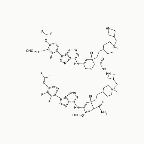 CCC1(CCC2CC[N+](C)(CC3CNC3)CC2)C=C(Nc2nccn3c(-c4ccc(OC(F)F)c(F)c4F)cnc23)C=CC1C(N)=O.CCC1(CCC2CC[N+](C)(CC3CNC3)CC2)C=C(Nc2nccn3c(-c4ccc(OC(F)F)c(F)c4F)cnc23)C=CC1C(N)=O.O=C[O-].O=C[O-]